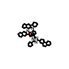 c1ccc(-c2nc(-c3ccc(-n4c5ccccc5c5cc6ccccc6c(-n6c7ccccc7c7cc8ccccc8cc76)c54)cc3)nc(-c3ccc4c(ccc5ccccc54)c3)n2)cc1